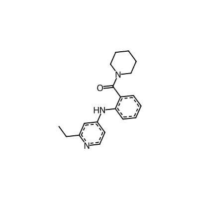 CCc1cc(Nc2ccccc2C(=O)N2CCCCC2)ccn1